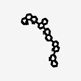 c1ccc2ncc(-c3ccc4ccc(-c5ccc6nc(-c7ccc(-c8ccc9ccc%10cccnc%10c9n8)c8ccccc78)ccc6c5)cc4n3)cc2c1